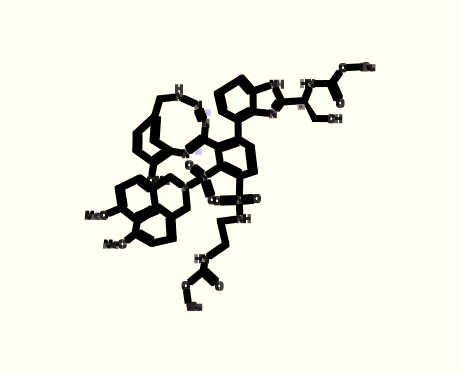 COc1ccc(CN(Cc2ccc(OC)cc2)S(=O)(=O)c2c(S(=O)(=O)NCCNC(=O)OC(C)(C)C)ccc(-c3cccc4[nH]c([C@H](CO)NC(=O)OC(C)(C)C)nc34)c2C2=N/c3cc(ccc3OC)CN/N=N\2)cc1